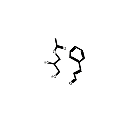 CC(=O)OCC(O)CO.O=CC=Cc1ccccc1